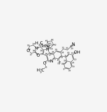 CCOc1nc2c(F)c(-c3cc(O)cc4ccccc34)c(CCC#N)cc2c2c1cc(C(C)N1CCOCC1=O)n2C1C2CNC1C2